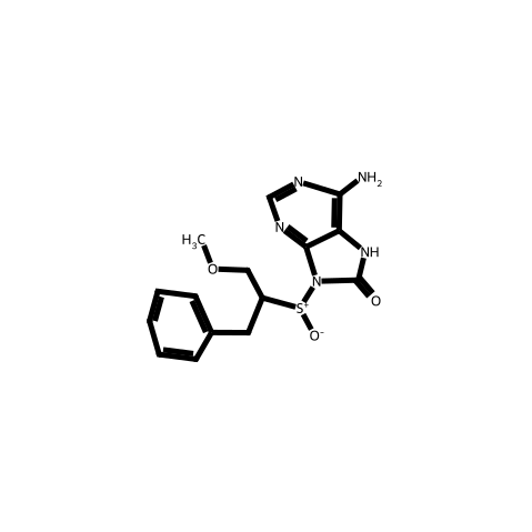 COCC(Cc1ccccc1)[S+]([O-])n1c(=O)[nH]c2c(N)ncnc21